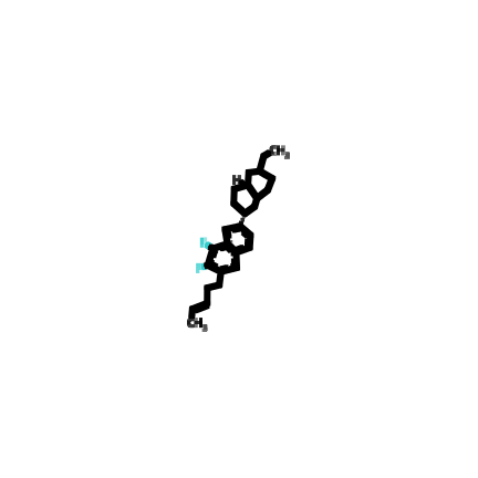 C/C=C/CCc1cc2ccc([C@@H]3CC[C@@H]4CC(CC)CCC4C3)cc2c(F)c1F